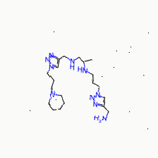 CC(CNCc1cn(CCCN2CCCCC2)nn1)NCCCn1cc(CN)nn1